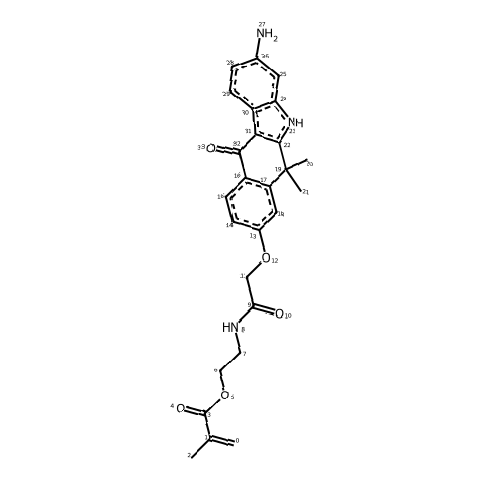 C=C(C)C(=O)OCCNC(=O)COc1ccc2c(c1)C(C)(C)c1[nH]c3cc(N)ccc3c1C2=O